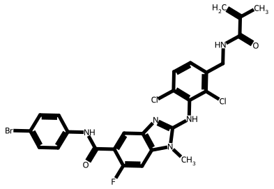 C=C(C)C(=O)NCc1ccc(Cl)c(Nc2nc3cc(C(=O)Nc4ccc(Br)cc4)c(F)cc3n2C)c1Cl